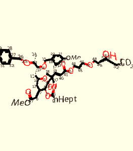 CCCCCCCC(=O)O[C@H]1/C(=C/C(=O)OC)CC(C[C@@H](OCc2ccc(OC)cc2)[C@@H](C)OCc2ccccc2)O[C@@]1(O)C(C)(C)/C=C/C(=O)OCCCOCC[C@@H](O)CC(=O)O